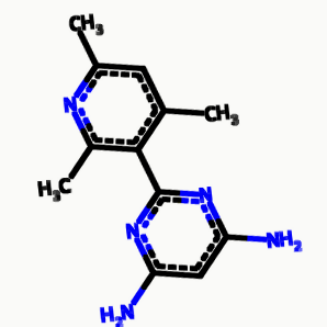 Cc1cc(C)c(-c2nc(N)cc(N)n2)c(C)n1